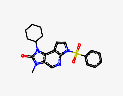 Cn1c(=O)n(C2CCCCC2)c2c3ccn(S(=O)(=O)c4ccccc4)c3ncc21